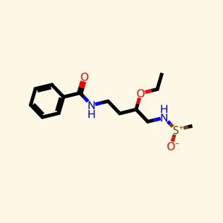 CCOC(CCNC(=O)c1ccccc1)CN[S+](C)[O-]